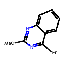 COc1nc(C(C)C)c2ccccc2n1